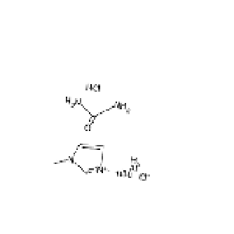 CCCC[n+]1ccn(C)c1.Cl.NC(N)=O.[AlH3].[Cl-]